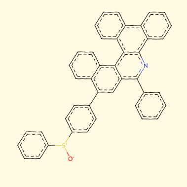 [O-][S+](c1ccccc1)c1ccc(-c2cc3c(-c4ccccc4)nc4c5ccccc5c5ccccc5c4c3c3ccccc23)cc1